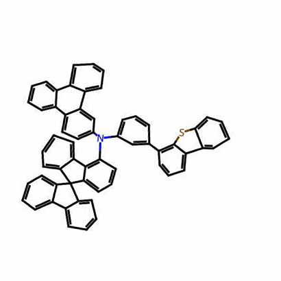 c1cc(-c2cccc3c2sc2ccccc23)cc(N(c2ccc3c4ccccc4c4ccccc4c3c2)c2cccc3c2-c2ccccc2C32c3ccccc3-c3ccccc32)c1